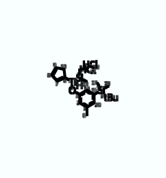 Cc1cc([O][Ti]([C]2=CC=CC2)[SiH](C)C)cc([Si](C)(C)C(C)(C)C)c1.Cl.Cl